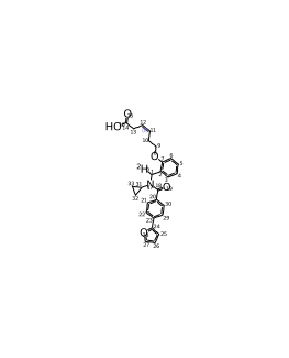 [2H]C(c1ccccc1OCC/C=C\CC(=O)O)N(C(=O)c1ccc(-c2ccco2)cc1)C1CC1